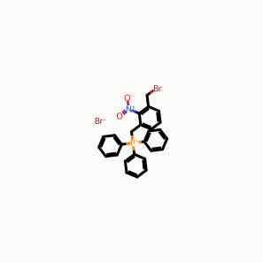 O=[N+]([O-])c1c(CBr)cccc1C[P+](c1ccccc1)(c1ccccc1)c1ccccc1.[Br-]